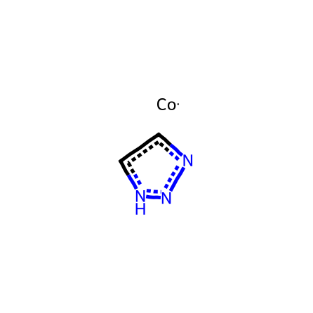 [Co].c1c[nH]nn1